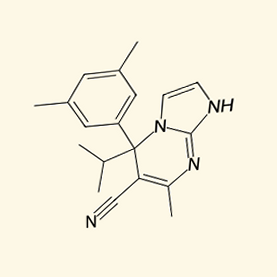 CC1=C(C#N)C(c2cc(C)cc(C)c2)(C(C)C)N2C=CNC2=N1